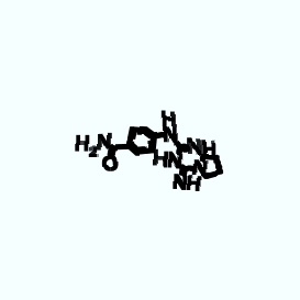 N=C(NC(=N)N1CCCC1)Nc1ccc(C(N)=O)cc1